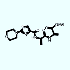 C=C(NC(=O)c1csc(N2CCOCC2)n1)C(=O)NC(=C)C(=O)OC